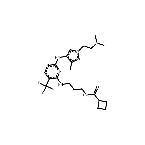 Cc1nn(CCN(C)C)cc1Nc1ncc(C(F)(F)F)c(NCCCNC(=O)C2CCC2)n1